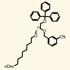 CCCCCCCCCCCCCCCCCCOC[C@H](COC(c1ccccc1)(c1ccccc1)c1ccccc1)OCc1cccc(C#N)c1